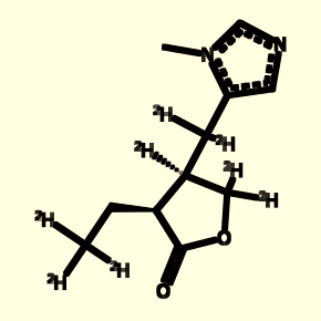 [2H]C([2H])([2H])C[C@@H]1C(=O)OC([2H])([2H])[C@]1([2H])C([2H])([2H])c1cncn1C